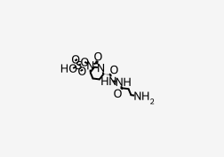 NCCC(=O)NNC(=O)[C@@H]1CCC2CN1C(=O)N2OS(=O)(=O)O